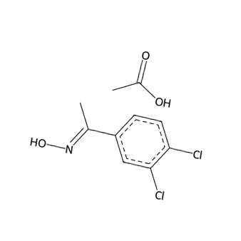 CC(=NO)c1ccc(Cl)c(Cl)c1.CC(=O)O